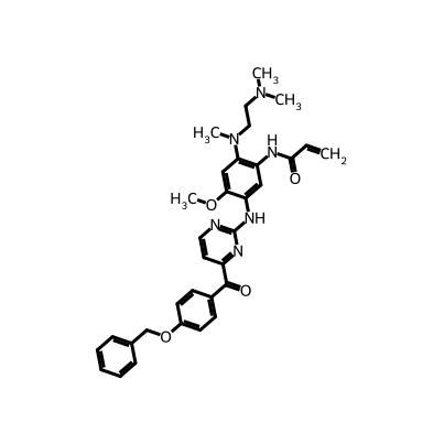 C=CC(=O)Nc1cc(Nc2nccc(C(=O)c3ccc(OCc4ccccc4)cc3)n2)c(OC)cc1N(C)CCN(C)C